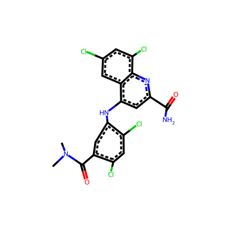 CN(C)C(=O)c1cc(Nc2cc(C(N)=O)nc3c(Cl)cc(Cl)cc23)c(Cl)cc1Cl